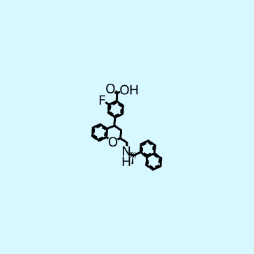 C[C@@H](NCC1CC(c2ccc(C(=O)O)c(F)c2)c2ccccc2O1)c1cccc2ccccc12